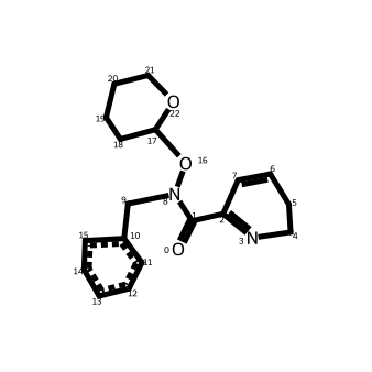 O=C(C1=NCCC=C1)N(Cc1ccccc1)OC1CCCCO1